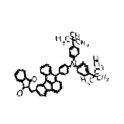 CC(C)(C)c1ccc(N(c2ccc(-c3c4ccccc4c4c5c(cccc35)-c3ccc(CC5C(=O)c6ccccc6C5=O)cc3-4)cc2)c2ccc(C(C)(C)C)cc2)cc1